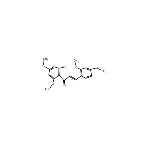 COc1ccc(/C=C/C(=O)c2c(O)cc(OC)cc2OC)c(OC)c1